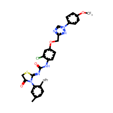 CCCc1ccc(C)cc1N1C(=O)CSC1=NC(=O)Nc1ccc(OCc2ncn(-c3ccc(OC(F)(F)F)cc3)n2)cc1Cl